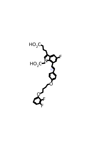 O=C(O)CCCc1cn(CC(=O)O)c2c(/C=C/c3ccc(OCCCCOc4cccc(F)c4F)cc3)cc(F)cc12